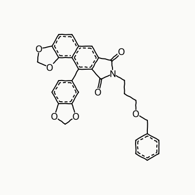 O=C1c2cc3ccc4c(c3c(-c3ccc5c(c3)OCO5)c2C(=O)N1CCCOCc1ccccc1)OCO4